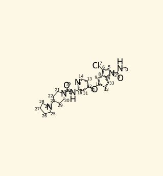 CNC(=O)n1cc(Cl)c2cc(Oc3ccnc(NC(=O)N4CCC(N5CCCC5)CC4)c3)ccc21